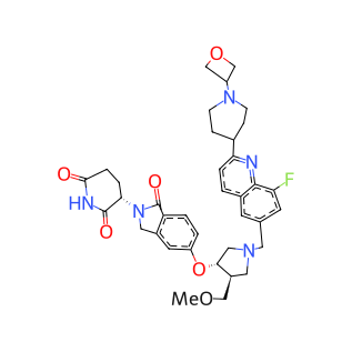 COC[C@@H]1CN(Cc2cc(F)c3nc(C4CCN(C5COC5)CC4)ccc3c2)C[C@H]1Oc1ccc2c(c1)CN([C@H]1CCC(=O)NC1=O)C2=O